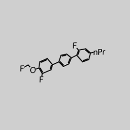 CCCc1ccc(-c2ccc(-c3ccc(OCF)c(F)c3)cc2)c(F)c1